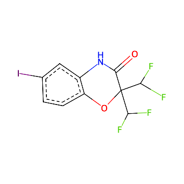 O=C1Nc2cc(I)ccc2OC1(C(F)F)C(F)F